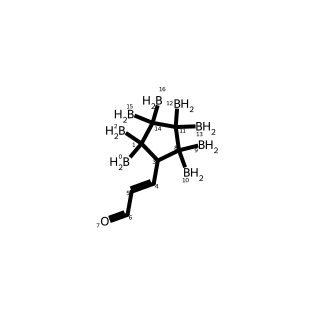 BC1(B)C(/C=C/C=O)C(B)(B)C(B)(B)C1(B)B